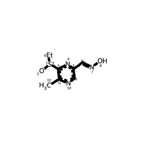 CC[S+]([O-])c1nc(/C=N/O)cnc1C